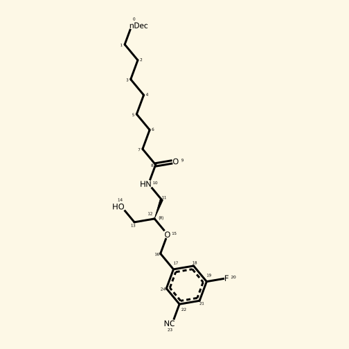 CCCCCCCCCCCCCCCCCC(=O)NC[C@H](CO)OCc1cc(F)cc(C#N)c1